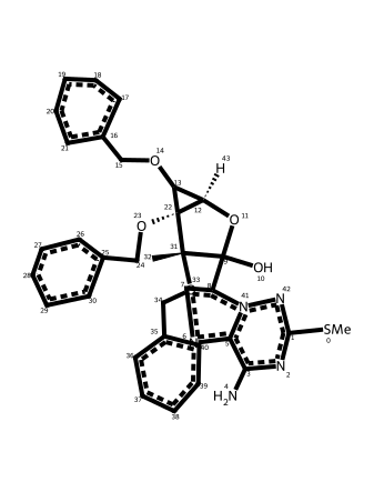 CSc1nc(N)c2ncc(C3(O)O[C@@H]4C(OCc5ccccc5)[C@]4(OCc4ccccc4)[C@@]3(C)OCc3ccccc3)n2n1